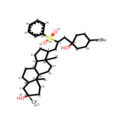 CC(C)(C)C1CCC(O)(CC(CC2CCC3C4CCC5C[C@](O)(C(F)(F)F)CCC5(C)C4CCC23C)S(=O)(=O)c2ccccc2)CC1